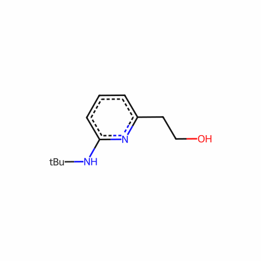 CC(C)(C)Nc1cccc(CCO)n1